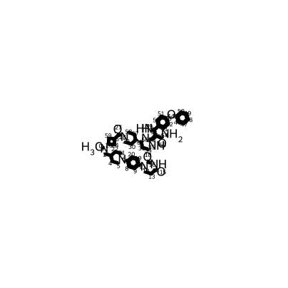 CN(CC1CCN(c2ccc(N3CCC(=O)NC3=O)cc2)CC1)C1CC(C(=O)N2CCC([C@@H]3CCN/C(=C(/C(=N)c4ccc(Oc5ccccc5)cc4)C(N)=O)N3)CC2)C1